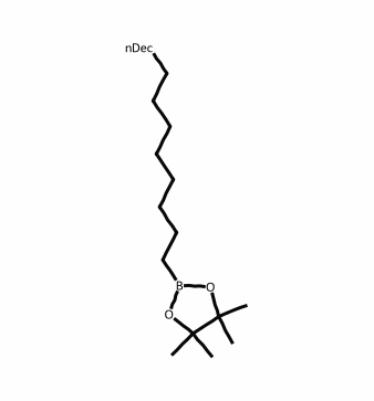 CCCCCCCCCCCCCCCCCCB1OC(C)(C)C(C)(C)O1